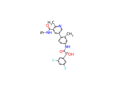 Cc1cc(NC(=O)[C@H](O)c2cc(F)cc(F)c2)ccc1-c1cnc(C)c(C(=O)NC(C)C)c1